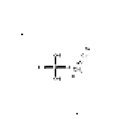 O.[Co].[LiH].[Mn].[Ni].[OH][Ti]([OH])([OH])[OH]